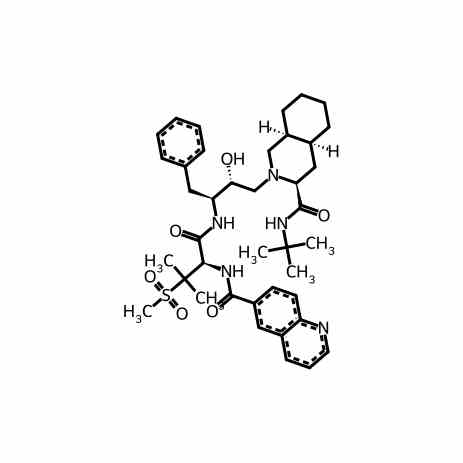 CC(C)(C)NC(=O)[C@@H]1C[C@@H]2CCCC[C@@H]2CN1C[C@@H](O)[C@H](Cc1ccccc1)NC(=O)[C@@H](NC(=O)c1ccc2ncccc2c1)C(C)(C)S(C)(=O)=O